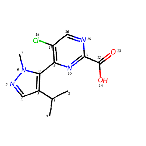 CC(C)c1cnn(C)c1-c1nc(C(=O)O)ncc1Cl